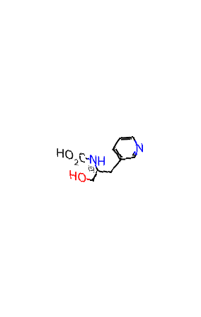 O=C(O)N[C@H](CO)Cc1cccnc1